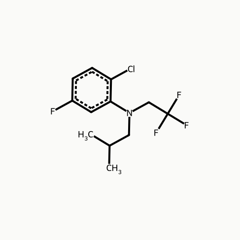 CC(C)CN(CC(F)(F)F)c1cc(F)ccc1Cl